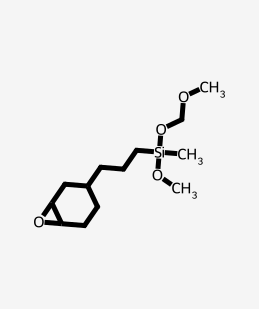 COCO[Si](C)(CCCC1CCC2OC2C1)OC